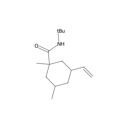 C=CC1CC(C)CC(C)(C(=O)NC(C)(C)C)C1